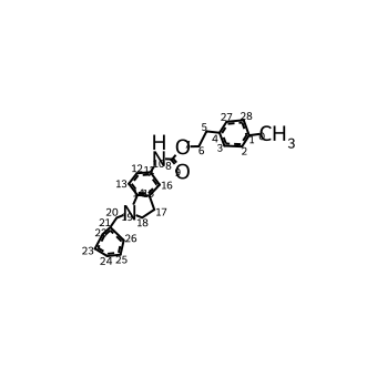 Cc1ccc(CCOC(=O)Nc2ccc3c(c2)CCN3Cc2ccccc2)cc1